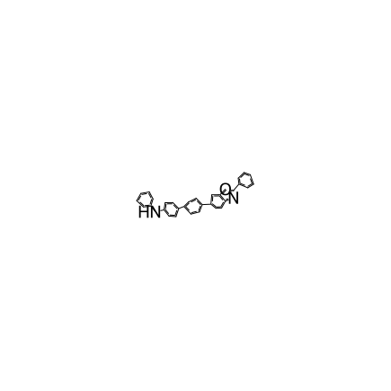 c1ccc(Nc2ccc(-c3ccc(-c4ccc5nc(-c6ccccc6)oc5c4)cc3)cc2)cc1